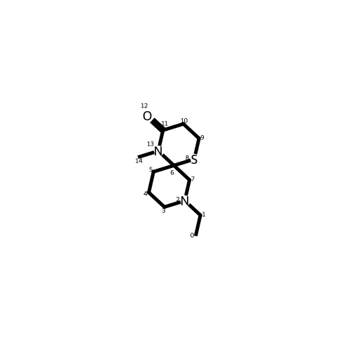 CCN1CCCC2(C1)SCCC(=O)N2C